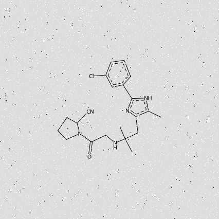 Cc1[nH]c(-c2cccc(Cl)c2)nc1CC(C)(C)NCC(=O)N1CCCC1C#N